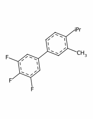 Cc1cc(-c2cc(F)c(F)c(F)c2)ccc1C(C)C